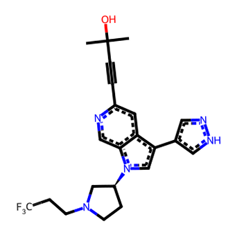 CC(C)(O)C#Cc1cc2c(-c3cn[nH]c3)cn([C@H]3CCN(CCC(F)(F)F)C3)c2cn1